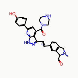 CN1Cc2ccc(/C=C/c3n[nH]c4nc(-c5ccc(O)cc5)cc(C(=O)N5CCNCC5)c34)cc2C1C=O